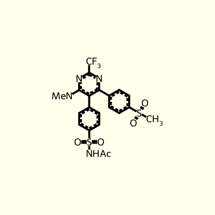 CNc1nc(C(F)(F)F)nc(-c2ccc(S(C)(=O)=O)cc2)c1-c1ccc(S(=O)(=O)NC(C)=O)cc1